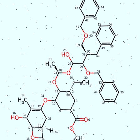 CC[C@@H]1CC(C(=O)OC)CC(OC2=C(C)C(O)C3OC[C@@H]3C2)C1O[C@@H](C)OC(O)C(OCc1ccccc1)[C@@H](COCc1ccccc1)Cc1ccccc1